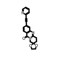 O=c1c2ccc(C#Cc3ccccn3)cc2nc2n1CC1(CC2)OCCO1